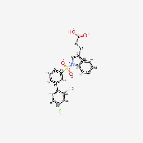 O=C(O)CCc1cn(S(=O)(=O)c2cccc(-c3ccc(F)cc3F)c2)c2ccccc12